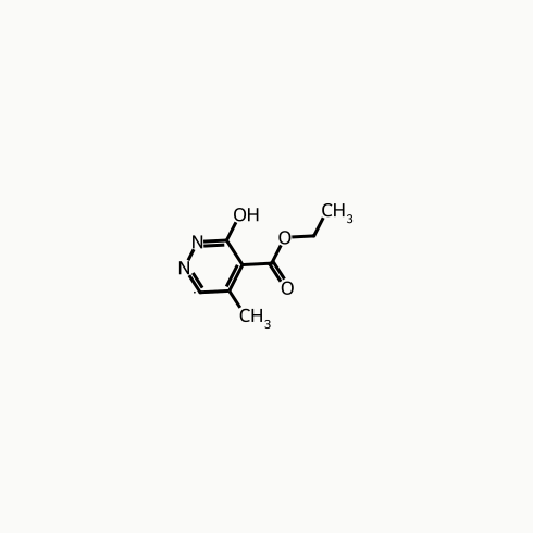 CCOC(=O)c1c(C)[c]nnc1O